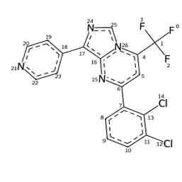 FC(F)(F)c1cc(-c2cccc(Cl)c2Cl)nc2c(-c3ccncc3)ncn12